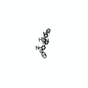 N#Cc1cc(-c2ccnc(Nc3ccc(N4CCCC4)nc3)n2)ccc1OC1CCOCC1